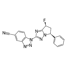 N#Cc1ccc2c(c1)nnn2-c1nc2n(n1)[C@H](c1ccccc1)C[C@@H]2F